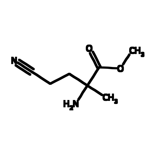 COC(=O)C(C)(N)CCC#N